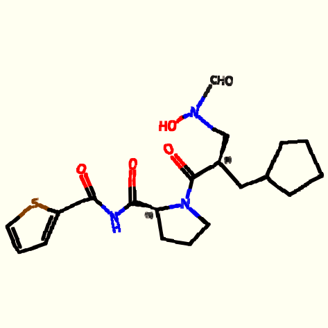 O=CN(O)C[C@@H](CC1CCCC1)C(=O)N1CCC[C@H]1C(=O)NC(=O)c1cccs1